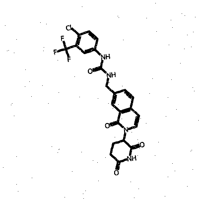 O=C1CCC(n2ccc3ccc(CNC(=O)Nc4ccc(Cl)c(C(F)(F)F)c4)cc3c2=O)C(=O)N1